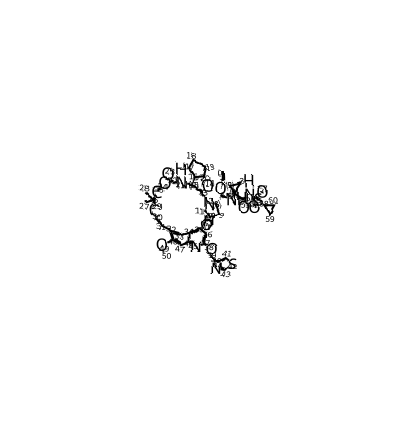 C=C[C@@H]1C[C@]1(NC(=O)[C@@H]1C[C@@H]2CN1C(=O)[C@H](C1CCCC1)NC(=O)OCC(C)(C)CCCc1cc3c(cc(OCc4cscn4)nc3cc1OC)O2)C(=O)NS(=O)(=O)C1CC1